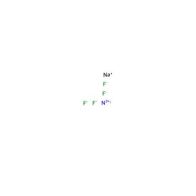 [F-].[F-].[F-].[F-].[N+3].[Na+]